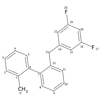 Cc1ccccc1-c1ccccc1Cc1cc(F)cc(F)c1